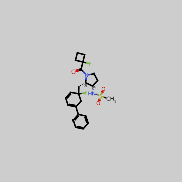 CS(=O)(=O)N[C@H]1CCN(C(=O)C2(F)CCC2)[C@H]1CC1(F)C=CC=C(c2ccccc2)C1